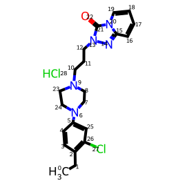 CCc1ccc(N2CCN(CCCn3nc4ccccn4c3=O)CC2)cc1Cl.Cl